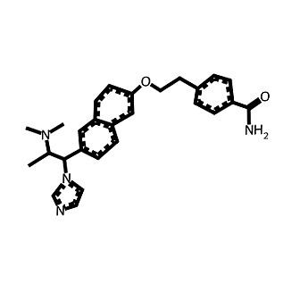 CC(C(c1ccc2cc(OCCc3ccc(C(N)=O)cc3)ccc2c1)n1ccnc1)N(C)C